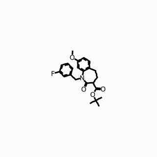 COc1ccc2c(c1)N(Cc1cccc(F)c1)C(=O)C(C(=O)OC(C)(C)C)CC2